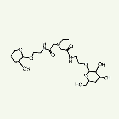 CCN(CC(=O)NCCOC1OCCCC1O)CC(=O)NCCOC1OC(CO)CC(O)C1O